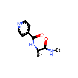 CCNC(=O)C(NC(=O)c1ccncc1)C(C)C